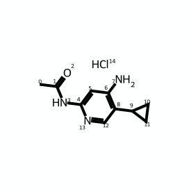 CC(=O)Nc1cc(N)c(C2CC2)cn1.Cl